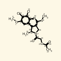 COc1cc2c3c(c(SC)nc2c(Cl)c1Cl)CN(C(=O)COC(C)=O)[C@H]3C